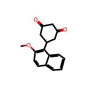 COc1ccc2ccccc2c1C1CC(=O)CC(=O)C1